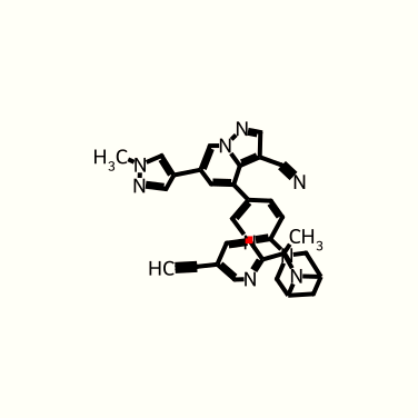 C#Cc1ccc(C(C)N2C3CC2CN(c2ccc(-c4cc(-c5cnn(C)c5)cn5ncc(C#N)c45)cn2)C3)nc1